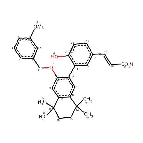 COc1cccc(COc2cc3c(cc2-c2cc(C=CC(=O)O)ccc2O)C(C)(C)CCC3(C)C)c1